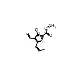 C=Cc1c(/C=C\C)sc(C(=O)ON)c1Cl